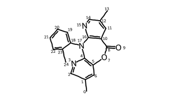 Cc1cnc2c(c1)OC(=O)c1cc(C)cnc1N2c1ccccc1C